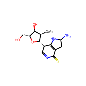 CO[C@@H]1[C@H](O)[C@@H](CO)O[C@H]1C1C=NC(=S)C2=C1NC(N)C2